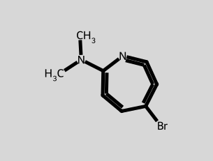 CN(C)C1=C=CC(Br)=C=C=N1